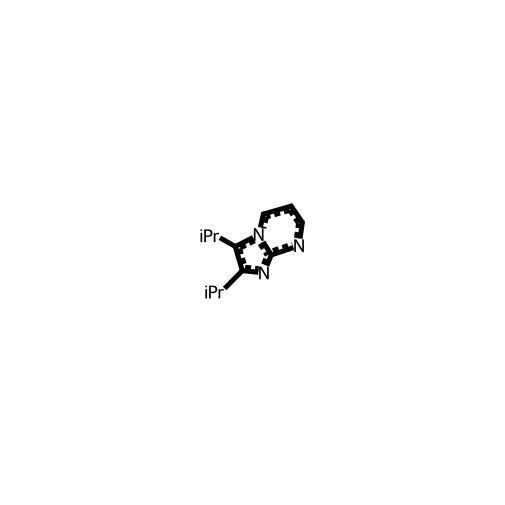 CC(C)c1nc2ncccn2c1C(C)C